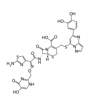 Nc1nc(C(=NOCc2nc(=O)c(O)c[nH]2)C(=O)N[C@@H]2C(=O)N3C(C(=O)O)=C(CSc4cc(-c5ccc(O)c(O)c5)nc5ccnn45)CS[C@H]23)cs1